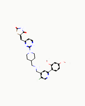 COc1ccc(-c2cc(CNCC3CCN(c4nccc(/C=C5/SC(=O)NC5=O)n4)CC3)c(F)cn2)c(OC)c1